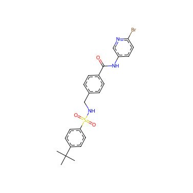 CC(C)(C)c1ccc(S(=O)(=O)NCc2ccc(C(=O)Nc3ccc(Br)nc3)cc2)cc1